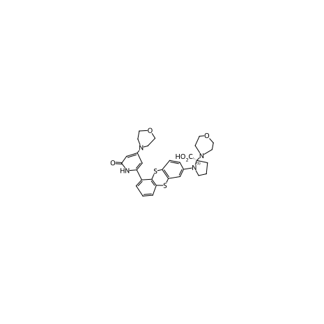 O=C(O)[C@]1(N2CCOCC2)CCCN1c1ccc2c(c1)Sc1cccc(-c3cc(N4CCOCC4)cc(=O)[nH]3)c1S2